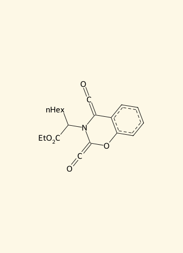 CCCCCCC(C(=O)OCC)N1C(=C=O)Oc2ccccc2C1=C=O